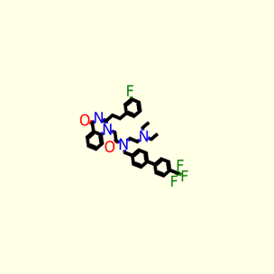 CCN(CC)CCN(Cc1ccc(-c2ccc(C(F)(F)F)cc2)cc1)C(=O)Cn1c(CCc2cccc(F)c2)nc(=O)c2ccccc21